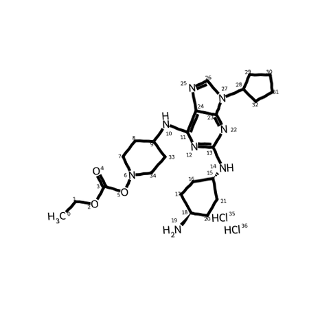 CCOC(=O)ON1CCC(Nc2nc(N[C@H]3CC[C@H](N)CC3)nc3c2ncn3C2CCCC2)CC1.Cl.Cl